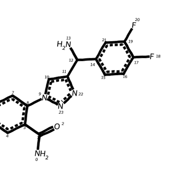 NC(=O)c1ccccc1-n1cc(C(N)c2ccc(F)c(F)c2)nn1